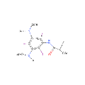 CON(C(C)=O)c1c(I)c(NC(=O)C(C)OC(C)=O)c(I)c(N(OC)C(C)=O)c1I